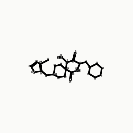 CCCCN1C(=O)C(CC2CCCCC2)NC(=O)C12CCN(Cc1sccc1C)CC2